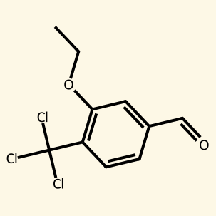 CCOc1cc(C=O)ccc1C(Cl)(Cl)Cl